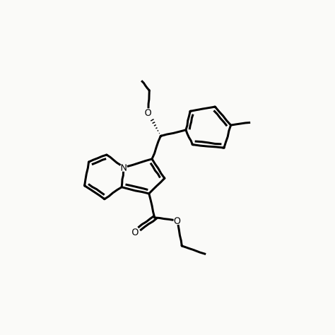 CCOC(=O)c1cc([C@H](OCC)c2ccc(C)cc2)n2ccccc12